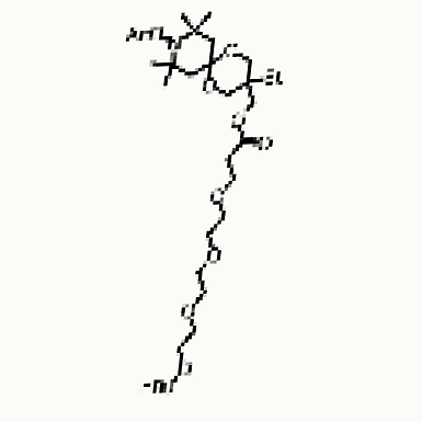 CCCCOCCOCCOCCOCCC(=O)OCC1(CC)COC2(CC(C)(C)N(OC(C)=O)C(C)(C)C2)OC1